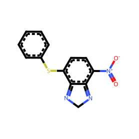 O=[N+]([O-])c1ccc(Sc2ccccc2)c2c1=NCN=2